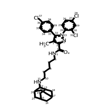 Cc1c(C(=O)NCCCCCNC2C3CC4CC(C3)CC2C4)nn(-c2ccc(Cl)cc2Cl)c1-c1ccc(Cl)cc1